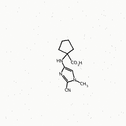 Cn1cc(NC2(C(=O)O)CCCC2)nc1C#N